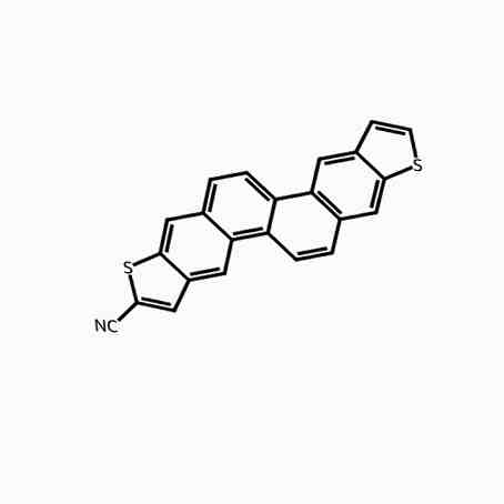 N#Cc1cc2cc3c(ccc4c5cc6ccsc6cc5ccc34)cc2s1